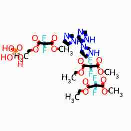 CCOC(=O)C(F)(F)C(=O)OC.CCOC(=O)C(F)(F)C(=O)OC.CCOC(=O)C(F)(F)C(=O)OC.O=P(O)(O)O.c1c[nH]cn1.c1c[nH]cn1.c1c[nH]cn1